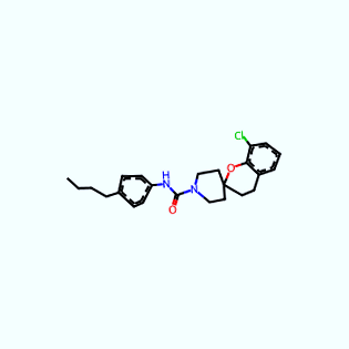 CCCCc1ccc(NC(=O)N2CCC3(CCc4cccc(Cl)c4O3)CC2)cc1